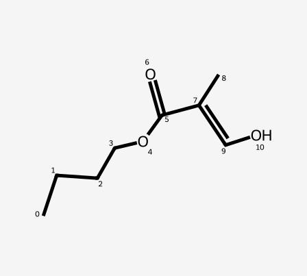 CCCCOC(=O)C(C)=CO